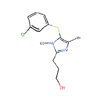 CCn1c(CCCO)nc(C(C)C)c1Sc1cccc(Cl)c1